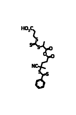 CC(SC(=S)SCCC(=O)O)C(=O)OC(=O)CCC(C)(C#N)SC(=S)c1ccccc1